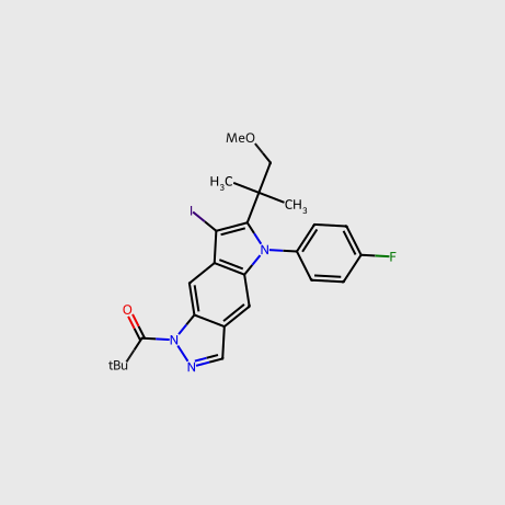 COCC(C)(C)c1c(I)c2cc3c(cnn3C(=O)C(C)(C)C)cc2n1-c1ccc(F)cc1